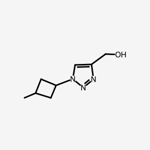 CC1CC(n2cc(CO)nn2)C1